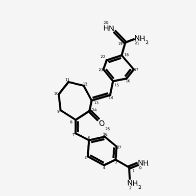 N=C(N)c1ccc(/C=C2/CCCC/C(=C\c3ccc(C(=N)N)cc3)C2=O)cc1